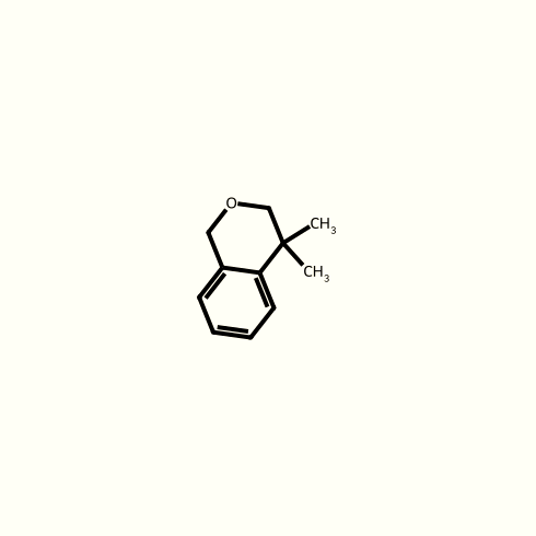 CC1(C)COCc2ccccc21